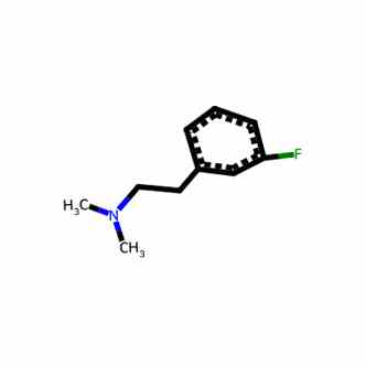 CN(C)CCc1cccc(F)c1